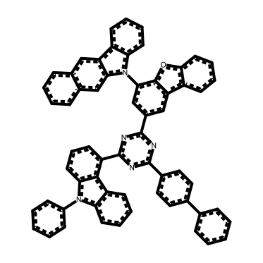 c1ccc(-c2ccc(-c3nc(-c4cc(-n5c6ccccc6c6cc7ccccc7cc65)c5oc6ccccc6c5c4)nc(-c4cccc5c4c4ccccc4n5-c4ccccc4)n3)cc2)cc1